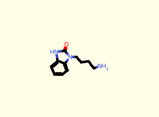 NCCCCn1c(=O)[nH]c2ccccc21